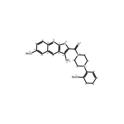 COC1=C(N2CCN(C(=O)c3sc4nc5ccc(OC)cc5cc4c3N)CC2)C=CCC1